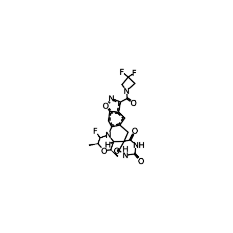 C[C@@H]1O[C@H](C)[C@@H]2N(c3cc4onc(C(=O)N5CC(F)(F)C5)c4cc3CC23C(=O)NC(=O)NC3=O)C1F